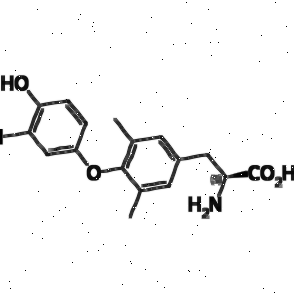 Cc1cc(C[C@H](N)C(=O)O)cc(C)c1Oc1ccc(O)c(I)c1